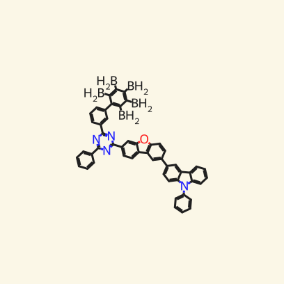 Bc1c(B)c(B)c(-c2cccc(-c3nc(-c4ccccc4)nc(-c4ccc5c(c4)oc4ccc(-c6ccc7c(c6)c6ccccc6n7-c6ccccc6)cc45)n3)c2)c(B)c1B